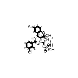 CC(=O)c1ccc2c(c1)[C@@H](NC(=O)c1cccc(Cl)c1Cl)[C@@H](OCOP(=O)(O)O)C(C)(C)O2